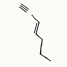 C#[Si]/C=C/CCC